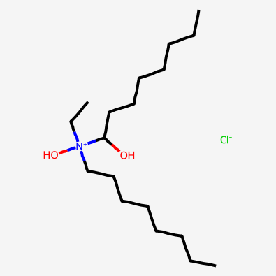 CCCCCCCC[N+](O)(CC)C(O)CCCCCCC.[Cl-]